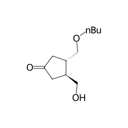 CCCCOC[C@H]1CC(=O)C[C@@H]1CO